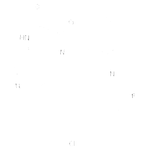 O=c1[nH]c2cnccc2n(-c2cc(-c3cc(Cl)ccc3F)nc3ccccc23)c1=O